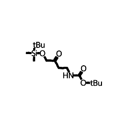 CC(C)(C)OC(=O)NCCC(=O)CO[Si](C)(C)C(C)(C)C